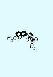 BC(=O)N1CCN(c2ccc3c(c2)OC(=C)C=C3)C1=O